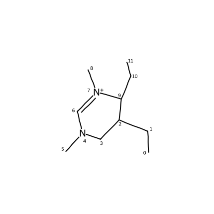 CCC1CN(C)C=[N+](C)C1CC